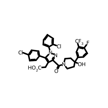 O=C(O)Cc1c(C(=O)N2CCC(O)(c3ccc(F)c(C(F)(F)F)c3)CC2)nn(-c2ccccc2Cl)c1-c1ccc(Cl)cc1